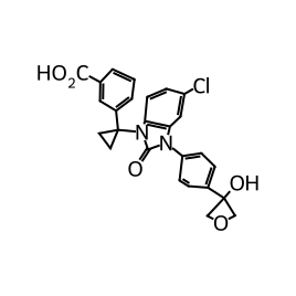 O=C(O)c1cccc(C2(n3c(=O)n(-c4ccc(C5(O)COC5)cc4)c4cc(Cl)ccc43)CC2)c1